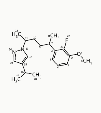 COc1cccc(C(C)CCC(C)n2cc(C(C)C)cn2)c1F